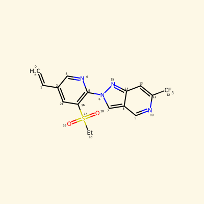 C=Cc1cnc(-n2cc3cnc(C(F)(F)F)cc3n2)c(S(=O)(=O)CC)c1